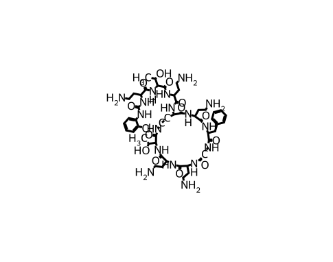 CC(O)C1NC(=O)C(CCN)NC(=O)C(CCN)NC(=O)CNC(=O)C(Cc2ccccc2)NC(=O)C(CCN)NC(=O)C(NC(=O)C(CCN)NC(=O)C(NC(=O)C(CCN)NC(=O)Nc2ccccc2Cl)C(C)O)CCNC1=O